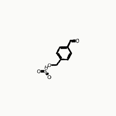 O=Cc1ccc(CO[SH](=O)=O)cc1